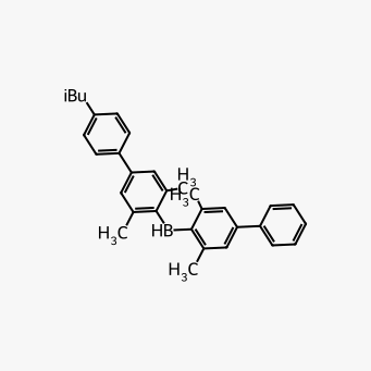 CCC(C)c1ccc(-c2cc(C)c(Bc3c(C)cc(-c4ccccc4)cc3C)c(C)c2)cc1